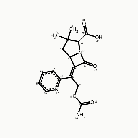 CC1(C)CC2/C(=C(/COC(N)=O)c3ccccn3)C(=O)N2[C@H]1C(=O)O